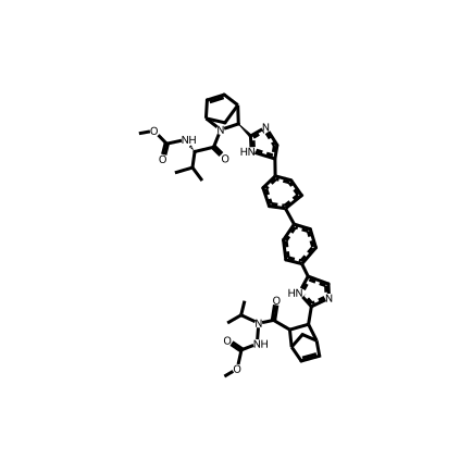 COC(=O)N[C@H](C(=O)N1C2C=CC(C2)[C@H]1c1ncc(-c2ccc(-c3ccc(-c4cnc(C5C6C=CC(C6)C5C(=O)N(NC(=O)OC)C(C)C)[nH]4)cc3)cc2)[nH]1)C(C)C